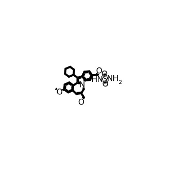 COc1ccc2c(c1)C=C(C=O)Cn1c-2c(C2CCCCC2)c2ccc(C(=O)NS(N)(=O)=O)cc21